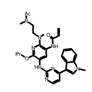 C=CC(=O)Nc1cc(Nc2nccc(-c3cn(C)c4ccccc34)n2)c(OC(C)C)nc1N(C)CCN(C)C(C)=O